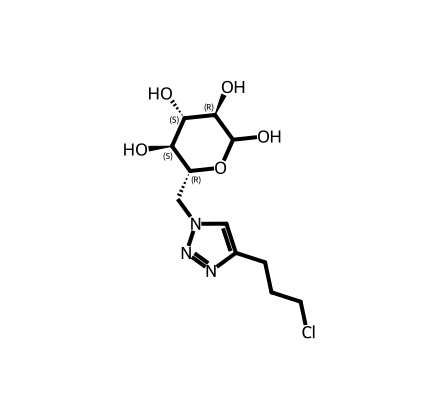 OC1O[C@H](Cn2cc(CCCCl)nn2)[C@@H](O)[C@H](O)[C@H]1O